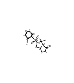 CC1(C)N2C(=O)CCC2CN1S(=O)(=O)c1ccccc1F